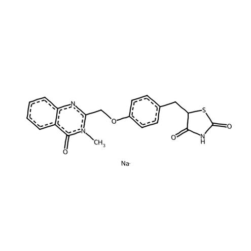 Cn1c(COc2ccc(CC3SC(=O)NC3=O)cc2)nc2ccccc2c1=O.[Na]